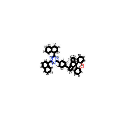 c1ccc2c(c1)Oc1ccccc1C21c2ccccc2-c2c(-c3ccc(-c4nc(-c5cccc6ccccc56)nc(-c5cccc6ccccc56)n4)cc3)cccc21